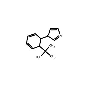 CC(C)(C)C1C=CC=C[C]1n1ccnc1